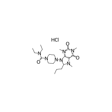 CCCC1N(C)c2c(n(C)c(=O)n(C)c2=O)N1N1CCN(C(=O)N(CC)CC)CC1.Cl